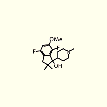 COc1cc(F)c2c(c1F)C(O)(C1CCN(C)CC1)C(C)(C)C2